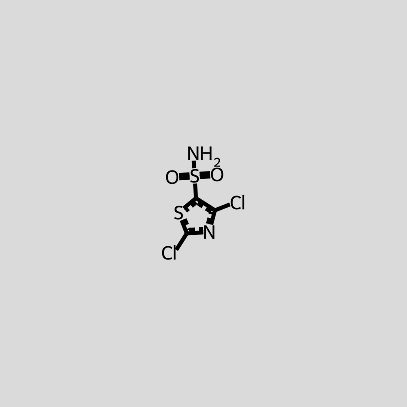 NS(=O)(=O)c1sc(Cl)nc1Cl